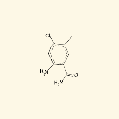 Cc1cc(C(N)=O)c(N)cc1Cl